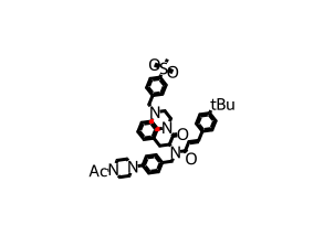 CC(=O)N1CCN(c2ccc(CN(C(=O)C=Cc3ccc(C(C)(C)C)cc3)C(Cc3ccccc3)C(=O)N3CCN(Cc4ccc(S(C)(=O)=O)cc4)CC3)cc2)CC1